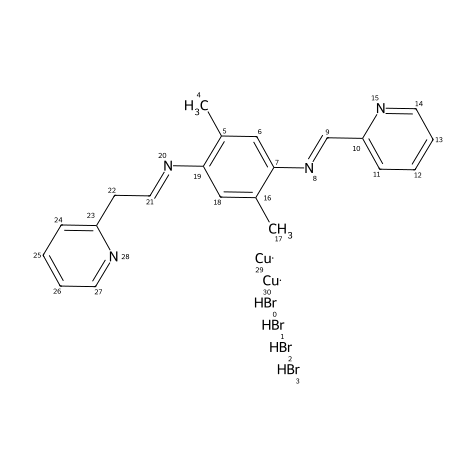 Br.Br.Br.Br.Cc1cc(N=Cc2ccccn2)c(C)cc1N=CCc1ccccn1.[Cu].[Cu]